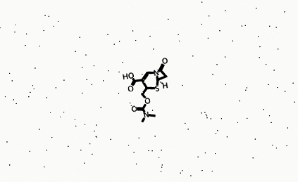 CN(C)C(=O)OCC1S[C@@H]2CC(=O)N2C=C1C(=O)O